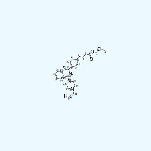 CCOC(=O)CCCc1ccc(-c2cc3ccccc3c(N3CCN(CC)CC3)n2)cc1